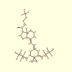 C[C@@H](OCCC(C)(C)C)C1CCC2/C(=C/C=C3C[C@@H](O[Si](C)(C)C(C)(C)C)C4(CO4)[C@H](O[Si](C)(C)C(C)(C)C)C3)CCCC21C